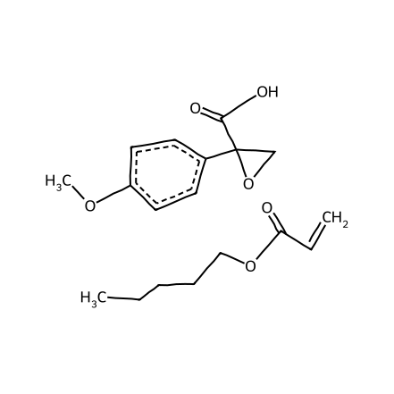 C=CC(=O)OCCCCC.COc1ccc(C2(C(=O)O)CO2)cc1